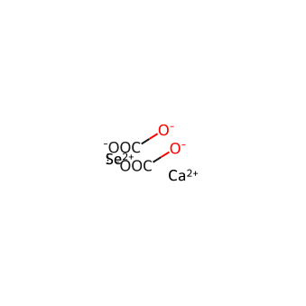 O=C([O-])[O-].O=C([O-])[O-].[Ca+2].[Se+2]